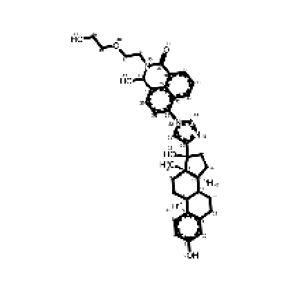 C[C@]12CC[C@@H]3c4ccc(O)cc4CCC3[C@@H]1CC[C@@]2(O)c1cn(-c2ccc3c4c(cccc24)C(=O)N(CCOCCO)C3O)nn1